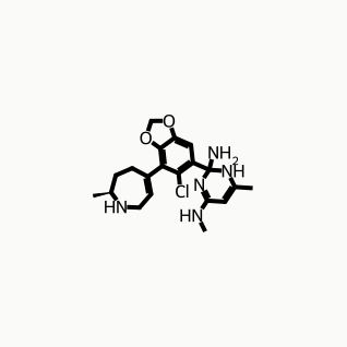 CNC1=NC(N)(c2cc3c(c(C4=CCN[C@@H](C)CC4)c2Cl)OCO3)NC(C)=C1